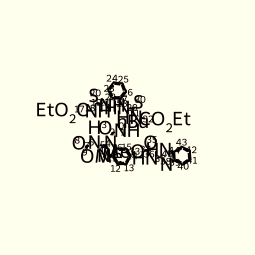 CCCCNC(=O)n1c(NC(=O)OC)nc2ccccc21.CCOC(=O)NC(=S)Nc1ccccc1NC(=S)NC(=O)OCC.COC(=O)Nc1nc2ccccc2[nH]1